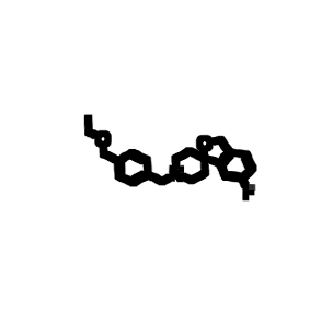 CCOCc1ccc(CN2CCC3(CC2)OCc2ccc(F)cc23)cc1